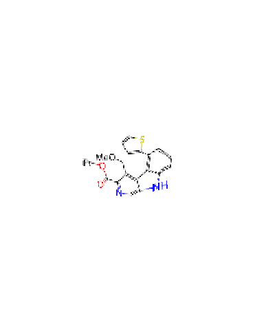 COCc1c(C(=O)OC(C)C)ncc2[nH]c3cccc(-c4cccs4)c3c12